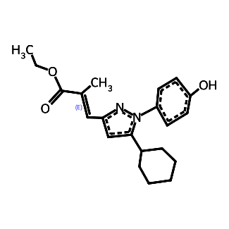 CCOC(=O)/C(C)=C/c1cc(C2CCCCC2)n(-c2ccc(O)cc2)n1